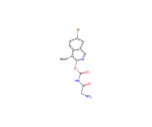 COc1c(OC(=O)NC(=O)CN)ncc2cc(Br)ccc12